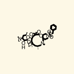 CO[C@]1(C)C[C@@H](C)CN(C)CC2(CCN(S(=O)(=O)Cc3ccccc3)CC2)OC(=O)C(C)(C)C(=O)[C@H](C)[C@H]1O[C@@H]1O[C@H](C)C[C@H](N(C)C)[C@H]1O